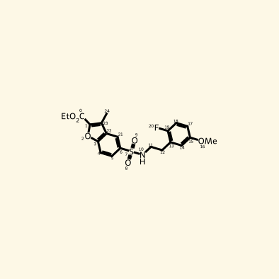 CCOC(=O)c1oc2ccc(S(=O)(=O)NCCc3cc(OC)ccc3F)cc2c1C